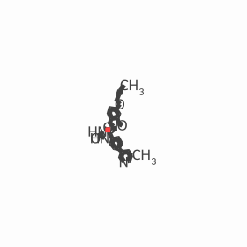 CC#CCOc1ccc2c(c1)C(=O)N(C[C@@]1(c3ccc(-c4cncc(C)c4)cc3)NC(=O)NC1=O)C2